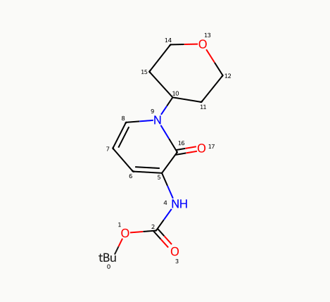 CC(C)(C)OC(=O)Nc1cccn(C2CCOCC2)c1=O